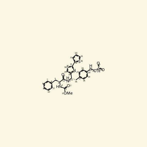 COC(=O)N[C@@H](Cc1ccccc1)C(=O)N[C@@H](Cc1ccc(NO[SH](=O)=O)cc1)c1csc(-c2cccs2)n1